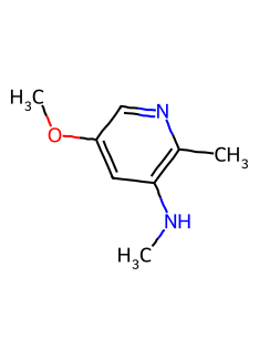 CNc1cc(OC)cnc1C